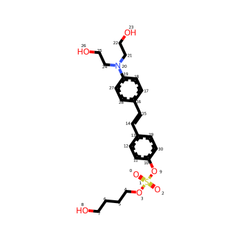 O=S(=O)(OCCCCO)Oc1ccc(C=Cc2ccc(N(CCO)CCO)cc2)cc1